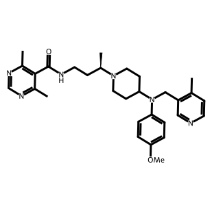 COc1ccc(N(Cc2cnccc2C)C2CCN([C@H](C)CCNC(=O)c3c(C)ncnc3C)CC2)cc1